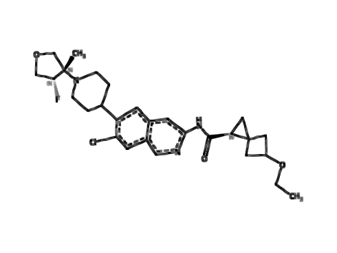 CCOC1CC2(C1)C[C@@H]2C(=O)Nc1cc2cc(C3CCN([C@@]4(C)COC[C@H]4F)CC3)c(Cl)cc2cn1